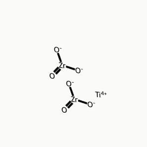 [O]=[Zr]([O-])[O-].[O]=[Zr]([O-])[O-].[Ti+4]